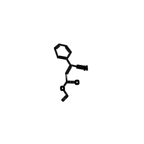 C=COC(=O)C=C(C#N)c1ccccc1